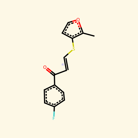 Cc1occc1S/C=C/C(=O)c1ccc(F)cc1